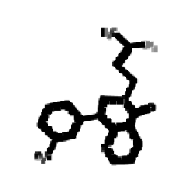 CC(C)=CCn1cc(-c2cccc([N+](=O)[O-])c2)c2ncccc2c1=O